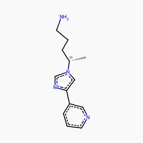 C[C@@H](CCCN)n1cnc(-c2cccnc2)c1